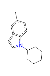 Cc1ccc2c(ccn2C2CCCCC2)c1